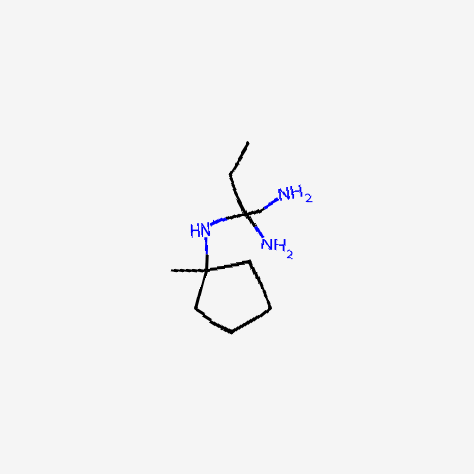 CCC(N)(N)NC1(C)CCCC1